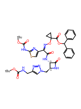 CC(C)(C)OC(=O)NCc1cn(C[C@@H]2NC(=O)[C@H]2NC(=O)C(=NOC2(C(=O)OC(c3ccccc3)c3ccccc3)CC2)c2csc(NC(=O)OC(C)(C)C)n2)nn1